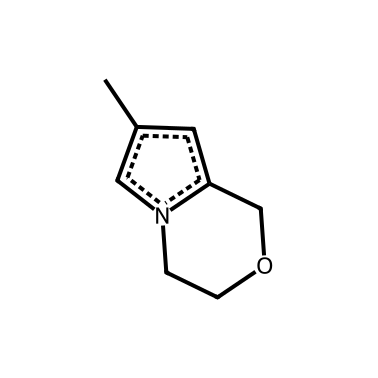 Cc1cc2n(c1)CCOC2